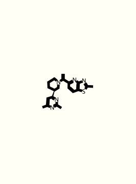 C=C(c1ccc2sc(C)nc2n1)N1CCC[C@H](c2cc(C)nc(C)n2)C1